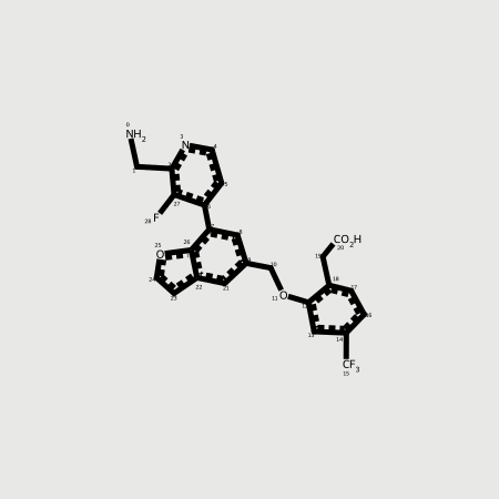 NCc1nccc(-c2cc(COc3cc(C(F)(F)F)ccc3CC(=O)O)cc3ccoc23)c1F